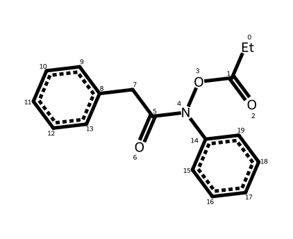 CCC(=O)ON(C(=O)Cc1ccccc1)c1ccccc1